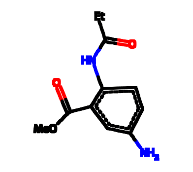 CCC(=O)Nc1ccc(N)cc1C(=O)OC